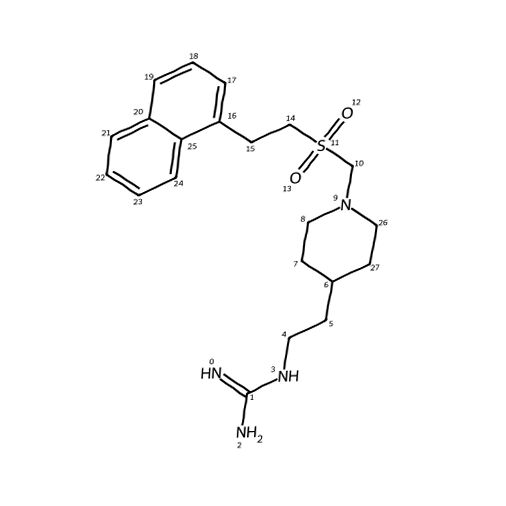 N=C(N)NCCC1CCN(CS(=O)(=O)CCc2cccc3ccccc23)CC1